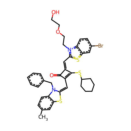 Cc1ccc2c(c1)S/C(=C/C1=C(SC3CCCCC3)C(=C\c3sc4cc(Br)ccc4[n+]3CCOCCO)/C1=O)N2Cc1ccccc1